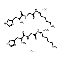 NCCCC[C@H](NC(=O)CNC(=O)[C@@H](N)Cc1c[nH]cn1)C(=O)[O-].NCCCC[C@H](NC(=O)CNC(=O)[C@@H](N)Cc1c[nH]cn1)C(=O)[O-].[Cu+2]